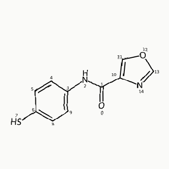 O=C(Nc1ccc(S)cc1)c1cocn1